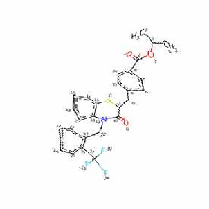 CC(C)OC(=O)c1ccc(CC2Sc3ccccc3N(Cc3ccccc3C(F)(F)F)C2=O)cc1